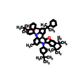 Cc1cc2c3c(c1)N(c1ccc(C(C)(C)C)cc1)c1c(oc4cc5c(cc14)C(C)(C)CCC5(C)C)B3c1cc(C(C)(C)c3ccccc3)cc(-c3ccccc3)c1N2c1ccc(C(C)(C)C)cc1